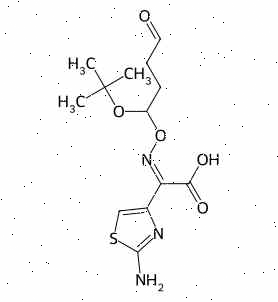 CC(C)(C)OC(CCC=O)ON=C(C(=O)O)c1csc(N)n1